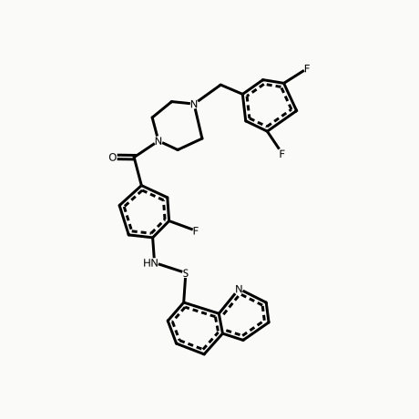 O=C(c1ccc(NSc2cccc3cccnc23)c(F)c1)N1CCN(Cc2cc(F)cc(F)c2)CC1